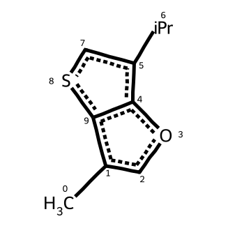 Cc1coc2c(C(C)C)csc12